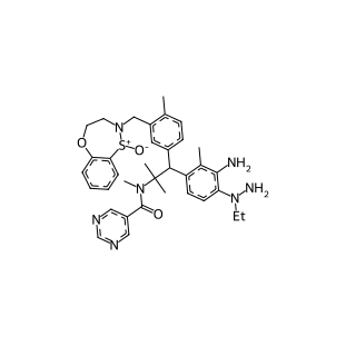 CCN(N)c1ccc(C(c2ccc(C)c(CN3CCOc4ccccc4[S+]3[O-])c2)C(C)(C)N(C)C(=O)c2cncnc2)c(C)c1N